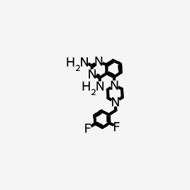 Nc1nc(N)c2c(N3CCN(Cc4ccc(F)cc4F)CC3)cccc2n1